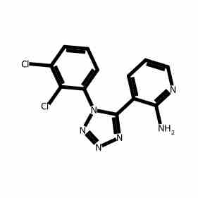 Nc1ncccc1-c1nnnn1-c1cccc(Cl)c1Cl